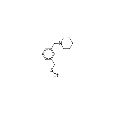 [CH2]CSCc1cccc(CN2CCCCC2)c1